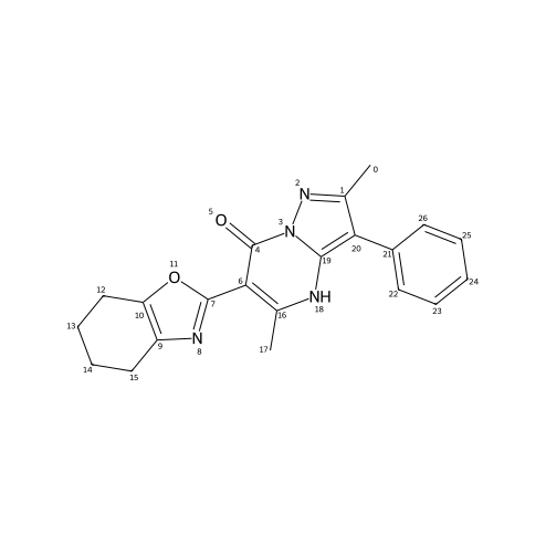 Cc1nn2c(=O)c(-c3nc4c(o3)CCCC4)c(C)[nH]c2c1-c1ccccc1